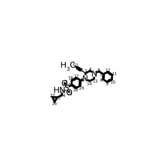 CC#C[C@H]1CN(Cc2ccccc2)CCN1c1ccc(S(=O)(=O)NCC2CC2)cc1